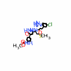 COC(=O)Nc1ccc(-c2cc(C(CCSC)NC(=O)C=Cc3cc(Cl)ccc3-n3cnnn3)n[nH]c2=O)cc1